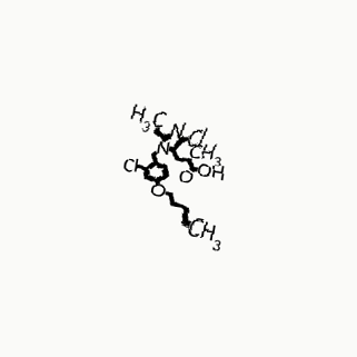 CCCCCOc1ccc(Cn2c(CC)nc(Cl)c2CC(C)C(=O)O)c(Cl)c1